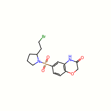 O=C1COc2ccc(S(=O)(=O)N3CCCC3CCBr)cc2N1